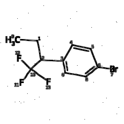 CCC(c1ccc(Br)cc1)C(F)(F)F